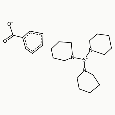 C1CCN([S+](N2CCCCC2)N2CCCCC2)CC1.O=C([O-])c1ccccc1